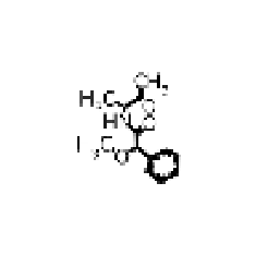 COC(C(=O)N[C@@H](C)C(C)=O)c1ccccc1